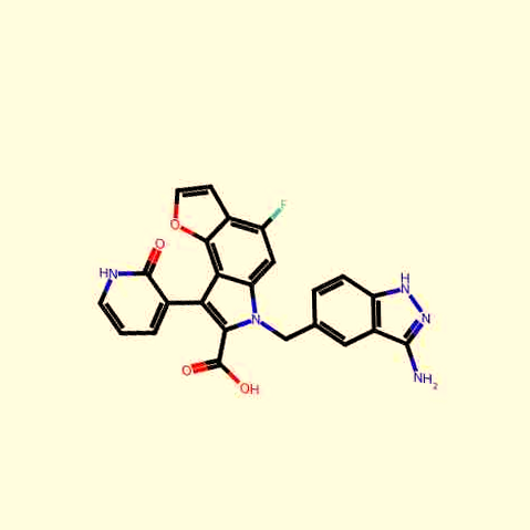 Nc1n[nH]c2ccc(Cn3c(C(=O)O)c(-c4ccc[nH]c4=O)c4c5occc5c(F)cc43)cc12